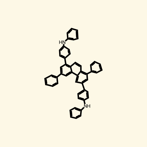 c1ccc(Nc2ccc(-c3cc(-c4ccccc4)c4ccc5c(-c6ccc(Nc7ccccc7)cc6)cc(-c6ccccc6)cc5c4c3)cc2)cc1